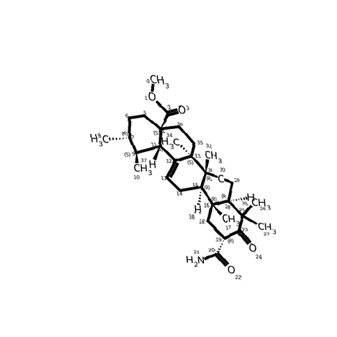 COC(=O)[C@]12CC[C@@H](C)[C@H](C)[C@H]1C1=CC[C@@H]3[C@@]4(C)C[C@@H](C(N)=O)C(=O)C(C)(C)[C@@H]4CC[C@@]3(C)[C@]1(C)CC2